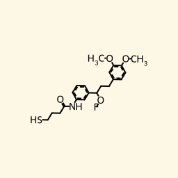 COc1ccc(CCC(OF)c2cccc(NC(=O)CCCS)c2)cc1OC